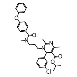 CC1=NC(C)=C(C(=O)OC(C)C)C(c2cccc(Cl)c2)N1CCCN(C)C(=O)c1ccc(Oc2ccccc2)cc1